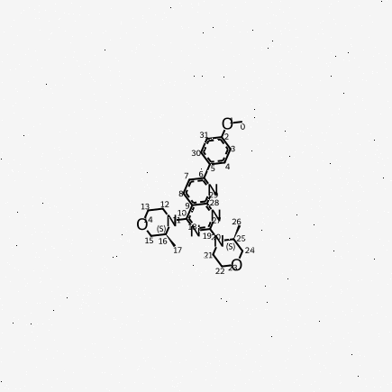 COc1ccc(-c2ccc3c(N4CCOC[C@@H]4C)nc(N4CCOC[C@@H]4C)nc3n2)cc1